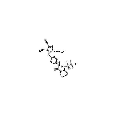 CCCCc1nc(C#N)c(C#N)n1Cc1ccc(NC(=O)c2ccccc2NS(=O)(=O)C(F)(F)F)cc1